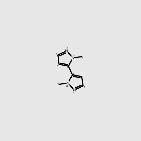 Cn1nccc1-c1ccnn1C